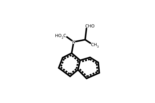 CC(C=O)N(C(=O)O)c1cccc2ccccc12